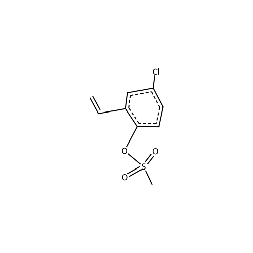 C=Cc1cc(Cl)ccc1OS(C)(=O)=O